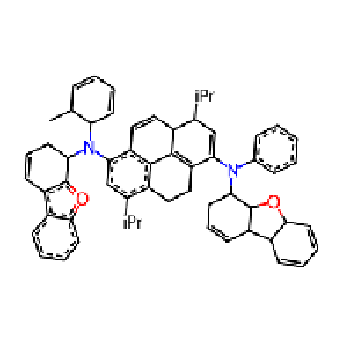 CC(C)c1cc(N(C2CC=Cc3c2oc2ccccc32)C2C=CC=CC2C)c2c3c1CCC1=C3C(C=C2)C(C(C)C)C=C1N(c1ccccc1)C1CC=CC2C3C=CC=CC3OC21